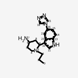 CCCN1CCC(N)CC1c1c[nH]c2ccc(-n3cnnc3)cc12